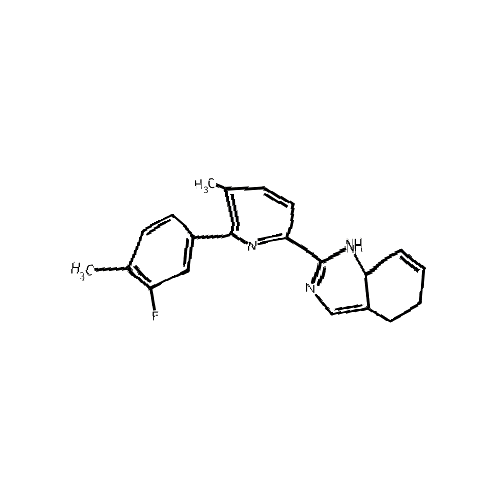 Cc1ccc(-c2nc(C3=NC=C4CCC=CC4N3)ccc2C)cc1F